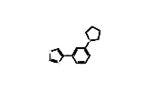 [c]1nc(-c2cccc(N3CCCC3)c2)cs1